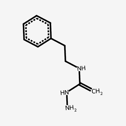 C=C(NN)NCCc1ccccc1